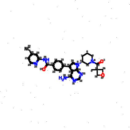 CC1(C(=O)N2CCC[C@@H](n3cc(-c4ccc(C(=O)Nc5cc(C#N)ccn5)cc4)c4c(N)ncnc43)C2)COC1